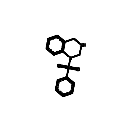 O=S(=O)(c1ccccc1)N1CNCc2ccccc21